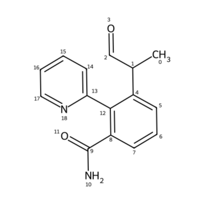 CC(C=O)c1cccc(C(N)=O)c1-c1ccccn1